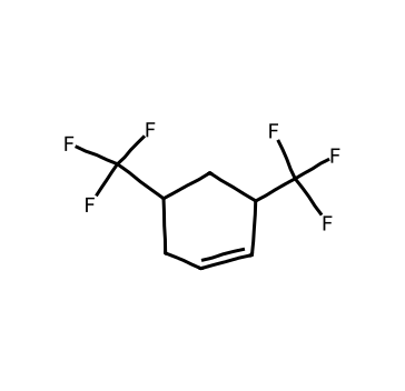 FC(F)(F)C1C=CCC(C(F)(F)F)C1